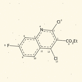 CCOC(=O)c1c(Cl)nc2cc(F)ccc2c1Cl